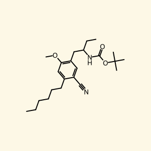 CCCCCCc1cc(OC)c(CC(CC)NC(=O)OC(C)(C)C)cc1C#N